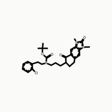 Cn1c(=O)n(C)c2cc3c(cc21)CCC(CCCN(CCc1ccccc1Cl)C(=O)OC(C)(C)C)C3=O